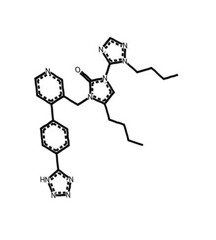 CCCCc1cn(-c2ncnn2CCCC)c(=O)n1Cc1cnccc1-c1ccc(-c2nnn[nH]2)cc1